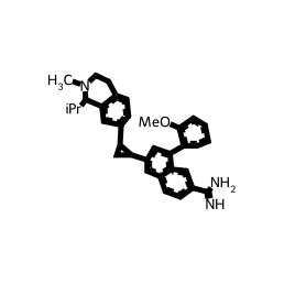 COc1ccccc1-c1cc(C2CC2c2ccc3c(c2)C(C(C)C)N(C)CC3)cc2ccc(C(=N)N)cc12